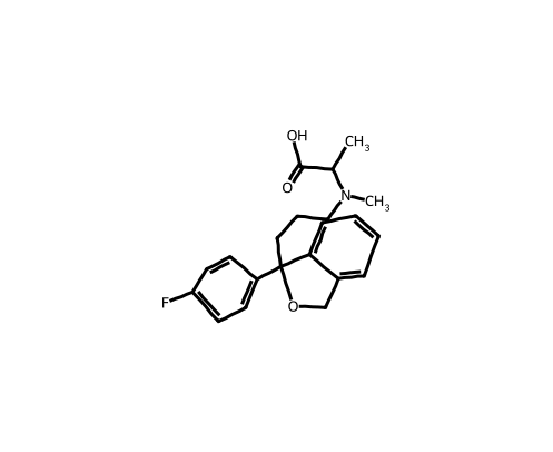 CC(C(=O)O)N(C)CCCC1(c2ccc(F)cc2)OCc2ccccc21